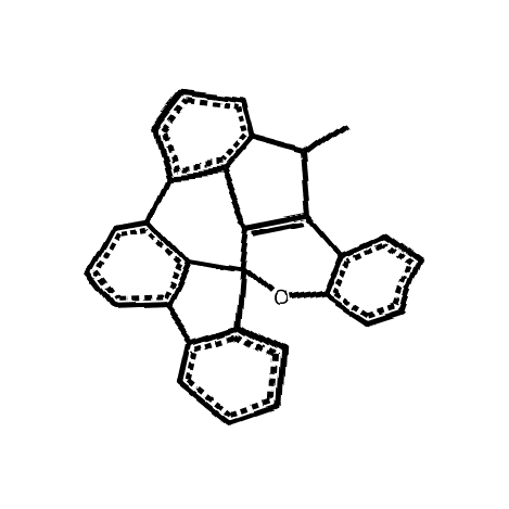 CC1C2=C3c4c(cccc41)-c1cccc4c1C3(Oc1ccccc12)c1ccccc1-4